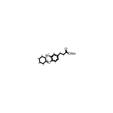 COC(=O)CCc1ccc(OC2CCCCC2)c(Br)c1